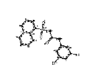 O=C(Nc1nc(Cl)cc(Cl)n1)NS(=O)(=O)c1cccc2cccnc12